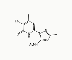 CCc1c(C)nc(-n2nc(C)cc2NC(C)=O)[nH]c1=O